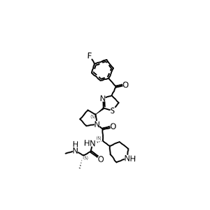 CN[C@@H](C)C(=O)N[C@H](C(=O)N1CCC[C@H]1C1=NC(C(=O)c2ccc(F)cc2)CS1)C1CCNCC1